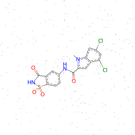 Cn1c(C(=O)Nc2ccc3c(c2)C(=O)NS3(=O)=O)cc2c(Cl)cc(Cl)cc21